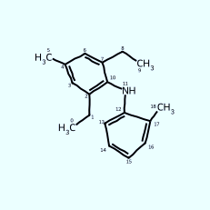 CCc1cc(C)cc(CC)c1Nc1ccccc1C